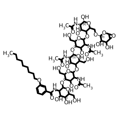 CCCCCCCCCOc1cccc(C(=O)NC2C(O[C@@H]3C(CO)OC(OC4C(CO)O[C@@H](O[C@@H]5C(CO)OC(OC6C(CO[C@@H]7OC8OC8C(O)C7O)O[C@@H](O)[C@@H](NC(C)=O)[C@@H]6O)C(NC(C)=O)C5O)[C@@H](NC(C)=O)[C@@H]4O)C(NC(C)=O)C3O)OC(CO)[C@@H](O)C2O)c1